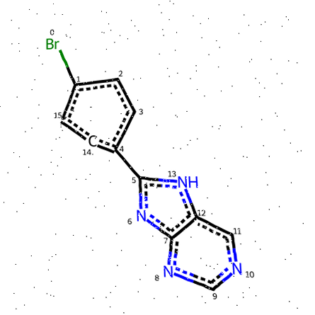 Brc1ccc(-c2nc3ncncc3[nH]2)cc1